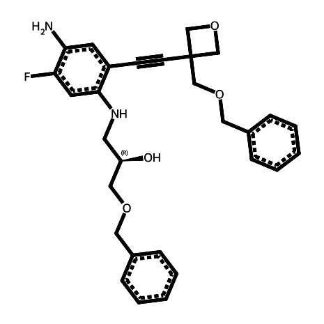 Nc1cc(C#CC2(COCc3ccccc3)COC2)c(NC[C@@H](O)COCc2ccccc2)cc1F